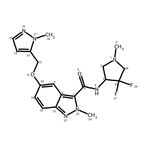 CN1CC(NC(=O)c2c3cc(OCc4ccnn4C)ccc3nn2C)C(F)(F)C1